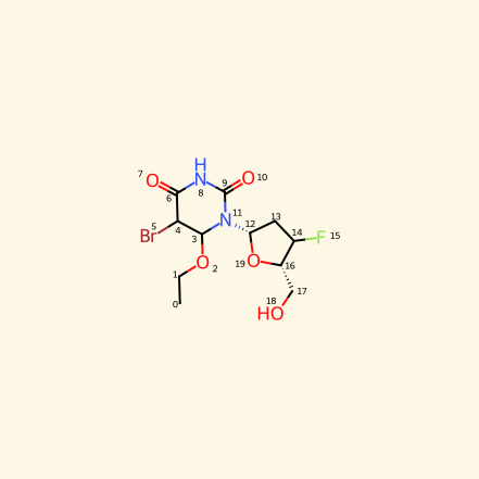 CCOC1C(Br)C(=O)NC(=O)N1[C@@H]1CC(F)[C@H](CO)O1